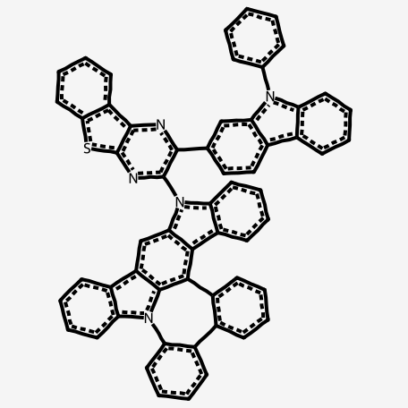 c1ccc(-n2c3ccccc3c3ccc(-c4nc5c(nc4-n4c6ccccc6c6c7c8c(cc64)c4ccccc4n8-c4ccccc4-c4ccccc4-7)sc4ccccc45)cc32)cc1